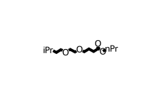 CCCOC(=O)CCCOCCOCCC(C)C